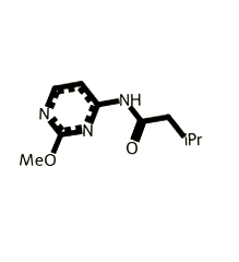 COc1nccc(NC(=O)CC(C)C)n1